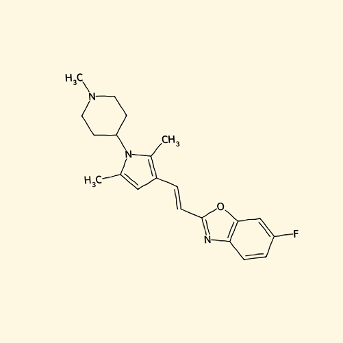 Cc1cc(C=Cc2nc3ccc(F)cc3o2)c(C)n1C1CCN(C)CC1